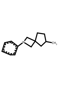 CC1CCC2(C1)CN(c1ccccc1)C2